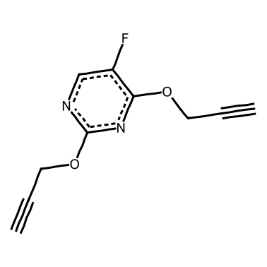 C#CCOc1ncc(F)c(OCC#C)n1